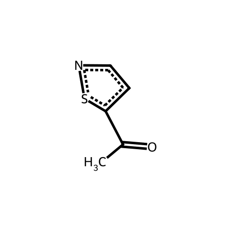 CC(=O)c1ccns1